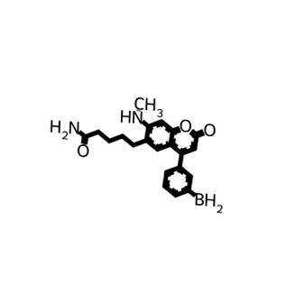 Bc1cccc(-c2cc(=O)oc3cc(NC)c(CCCCC(N)=O)cc23)c1